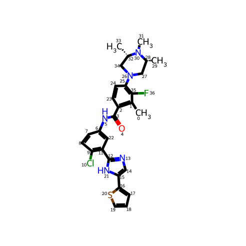 Cc1c(C(=O)Nc2ccc(Cl)c(-c3ncc(-c4cccs4)[nH]3)c2)ccc(N2C[C@@H](C)N(C)[C@@H](C)C2)c1F